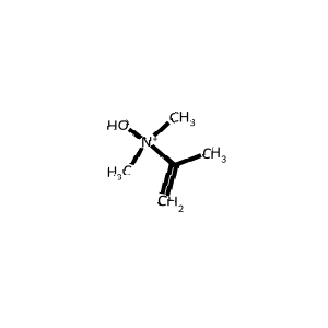 C=C(C)[N+](C)(C)O